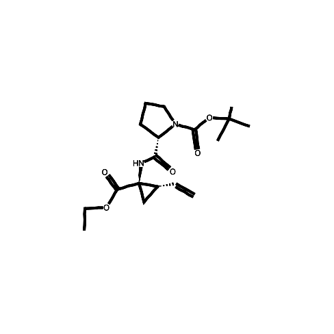 C=C[C@@H]1C[C@]1(NC(=O)[C@@H]1CCCN1C(=O)OC(C)(C)C)C(=O)OCC